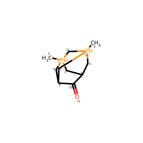 C[PH]12CC3C[PH](C)(CC(C1)C3=O)C2